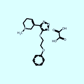 CN1CCC=C(c2nsnc2SCCOc2ccccc2)C1.O=C(O)C(=O)O